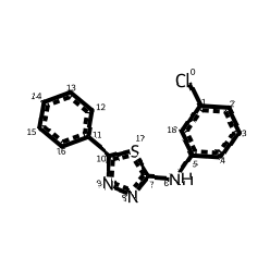 Clc1cccc(Nc2nnc(-c3ccccc3)s2)c1